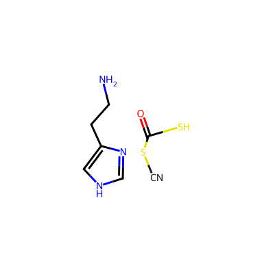 N#CSC(=O)S.NCCc1c[nH]cn1